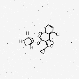 O=C(O[C@H]1C[C@H]2C[C@@H]1CN2)c1c(-c2c(Cl)cccc2Cl)noc1C1CC1